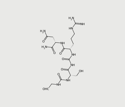 N=C(N)NCCC[C@H](NC(=O)NC(=O)[C@H](CO)NC(=O)NCC=O)C(=O)N[C@@H](CC(N)=O)C(N)=O